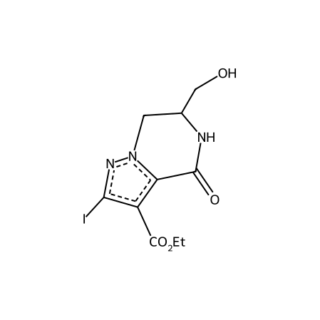 CCOC(=O)c1c(I)nn2c1C(=O)NC(CO)C2